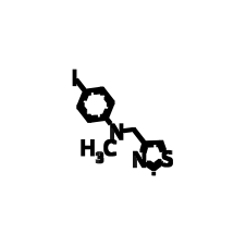 CN(Cc1cs[c]n1)c1ccc(I)cc1